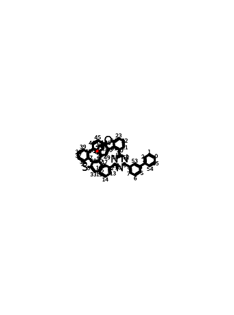 c1ccc(-c2cccc(-c3nc(-c4ccccc4)nc(-c4cccc5oc6ccc(-c7cccc8sc9cccc(-c%10ccccc%10)c9c78)cc6c45)n3)c2)cc1